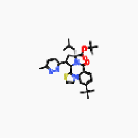 Cc1ccc(C2C[C@@](CC(C)C)(C(=O)OC(C)(C)C)N(C(=O)c3ccc(C(C)(C)C)cc3)[C@H]2c2nccs2)nn1